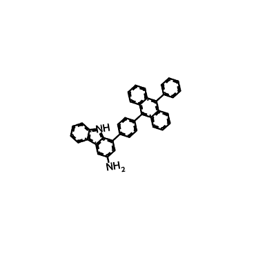 Nc1cc(-c2ccc(-c3c4ccccc4c(-c4ccccc4)c4ccccc34)cc2)c2[nH]c3ccccc3c2c1